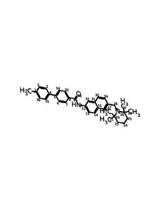 Cc1ccc(-c2ccc(C(=O)Nc3ccc4cc(CN5C(C)(C)CCCC5(C)C)ccc4c3)cc2)cc1